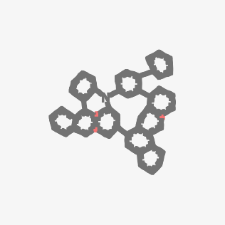 c1ccc(-c2ccc(N(c3cccc(-c4cc5ccccc5c5ccccc45)c3)c3ccccc3-c3cccc4ccccc34)cc2-c2ccccc2)cc1